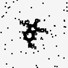 Cn1c(=O)n(C)c2ncc(N)cc21